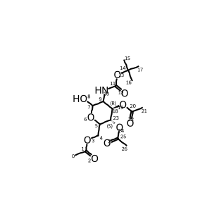 CC(=O)OCC1OC(O)C(NC(=O)OC(C)(C)C)[C@@H](OC(C)=O)[C@@H]1OC(C)=O